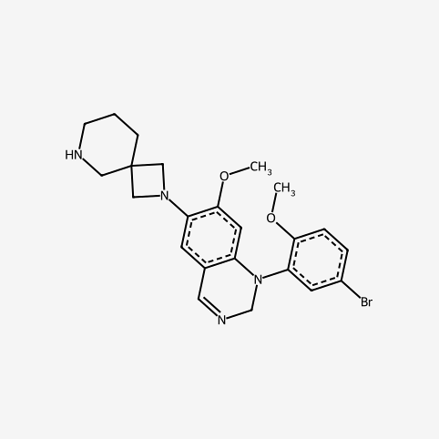 COc1cc2c(cc1N1CC3(CCCNC3)C1)C=NCN2c1cc(Br)ccc1OC